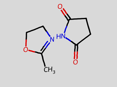 CC1=NCCO1.O=C1CCC(=O)N1